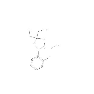 CCC1(CC)O[C@H](c2ccccc2F)[C@@H](CO)O1